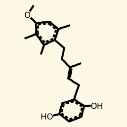 COc1cc(C)c(CC/C(C)=C/Cc2cc(O)ccc2O)c(C)c1C